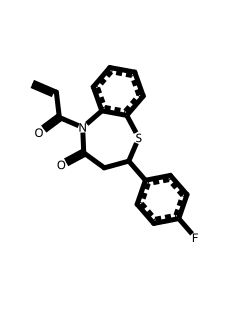 C=CC(=O)N1C(=O)CC(c2ccc(F)cc2)Sc2ccccc21